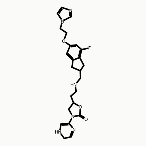 O=C1OC(CCNCC2Cc3cc(OCCn4ccnc4)cc(F)c3C2)CN1C1=CNCC=N1